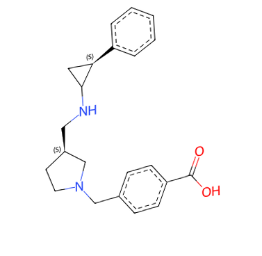 O=C(O)c1ccc(CN2CC[C@@H](CNC3C[C@H]3c3ccccc3)C2)cc1